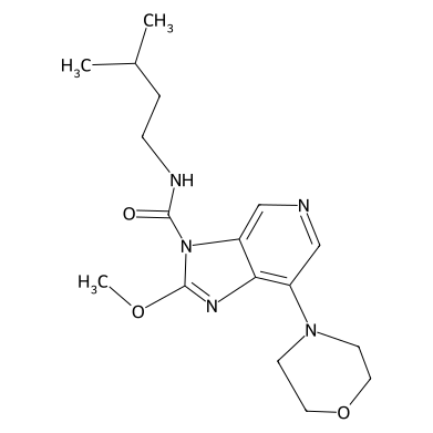 COc1nc2c(N3CCOCC3)cncc2n1C(=O)NCCC(C)C